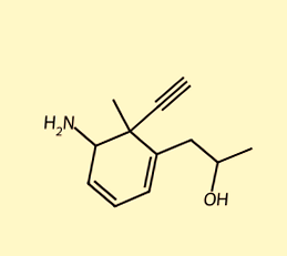 C#CC1(C)C(CC(C)O)=CC=CC1N